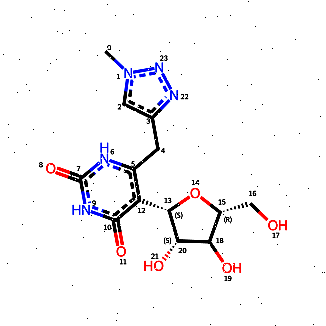 Cn1cc(Cc2[nH]c(=O)[nH]c(=O)c2[C@@H]2O[C@H](CO)C(O)[C@@H]2O)nn1